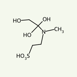 CN(CCS(=O)(=O)O)C(O)(O)CO